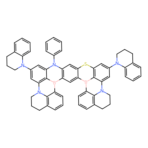 c1ccc(N2c3cc4c(cc3B3c5cccc6c5N(CCC6)c5cc(N6CCCc7ccccc76)cc2c53)B2c3cccc5c3N(CCC5)c3cc(N5CCCc6ccccc65)cc(c32)S4)cc1